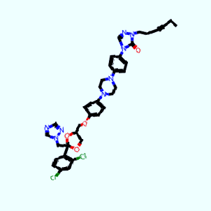 CCC#CCCn1ncn(-c2ccc(N3CCN(c4ccc(OCC5COC(Cn6cncn6)(c6ccc(Cl)cc6Cl)O5)cc4)CC3)cc2)c1=O